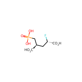 O=C(O)[C@H](C[C@H](F)C(=O)O)CP(=O)(O)O